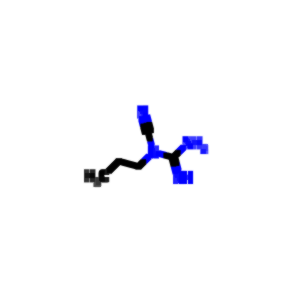 CCCN(C#N)C(=N)N